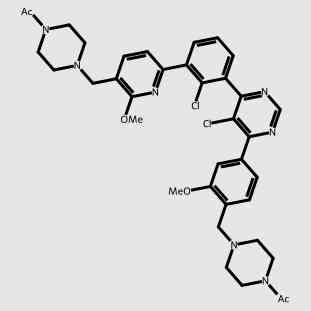 COc1cc(-c2ncnc(-c3cccc(-c4ccc(CN5CCN(C(C)=O)CC5)c(OC)n4)c3Cl)c2Cl)ccc1CN1CCN(C(C)=O)CC1